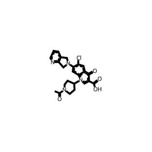 CC(=O)N1CCC(n2cc(C(=O)O)c(=O)c3cc(Cl)c(N4Cc5cccnc5C4)cc32)CC1